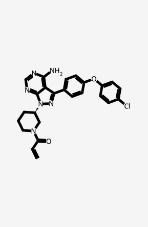 C=CC(=O)N1CCC[C@H](n2nc(-c3ccc(Oc4ccc(Cl)cc4)cc3)c3c(N)ncnc32)C1